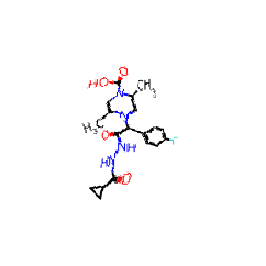 CC1CN(C(=O)O)[C@@H](C)CN1C(C(=O)NNC(=O)C1CC1)c1ccc(F)cc1